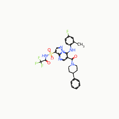 Cc1cc(F)ccc1Nc1c(C(=O)N2CCC(c3ccccc3)CC2)cnc2c(S(=O)(=O)NC(=O)C(F)(F)F)cnn12